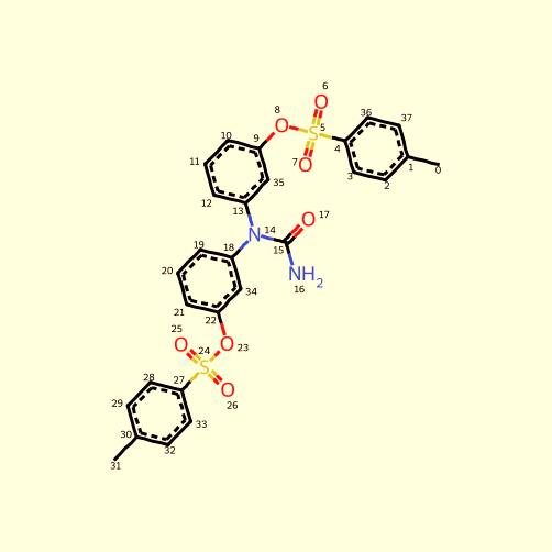 Cc1ccc(S(=O)(=O)Oc2cccc(N(C(N)=O)c3cccc(OS(=O)(=O)c4ccc(C)cc4)c3)c2)cc1